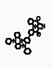 O=c1c2ccccc2n2c3ccc(-c4ccc5c(c4)B4c6ccccc6N(c6ccccc6)c6cccc(c64)N5c4ccccc4)cc3c(=O)c3cncc1c32